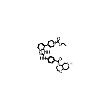 CCOC(=O)N1CC=C(C2=CC=CN3N=C(Nc4ccc(C(=O)N5CCOC6CCNCC65)cc4)NC23)CC1